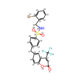 O=c1cc(C(F)(F)F)c2cc(Cc3ccc(S(=O)(=O)NCc4ccccc4Br)cc3)ccc2o1